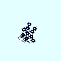 CC(C)(C)c1cccc(N2c3cc(C(C)(C)C)ccc3B3c4cc(-c5ccccc5)ccc4N(c4ccc(-c5ccccc5)cc4)c4cc(N5c6ccc(-c7ccccn7)cc6C6(C)CCCCC56C)cc2c43)c1